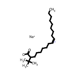 CCCCCCCC/C=C\CCCCCCC(C(=O)[O-])C(C)(C)C.[Na+]